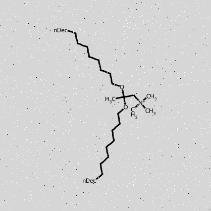 CCCCCCCCCCCCCCCCCCOC(C)(C[N+](C)(C)C)OCCCCCCCCCCCCCCCCCC